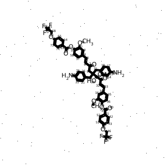 COc1cc(C=CC(=O)CC(Cc2ccc(N)cc2)(Cc2ccc(N)cc2)C(O)(O)C(=O)C=Cc2ccc(OC(=O)c3ccc(OCC(F)(F)F)cc3)c(OC)c2)ccc1OC(=O)c1ccc(OCC(F)(F)F)cc1